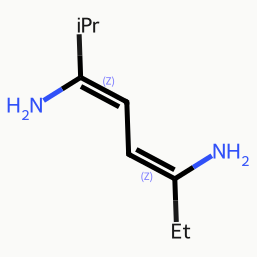 CC/C(N)=C/C=C(\N)C(C)C